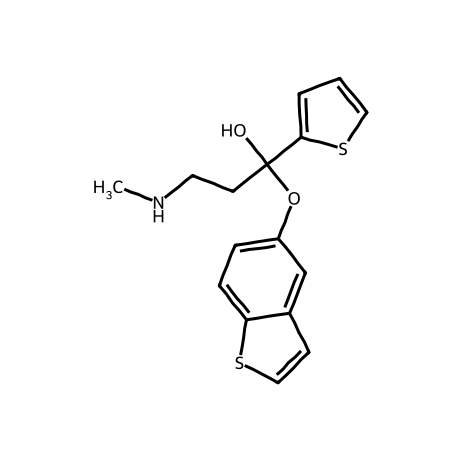 CNCCC(O)(Oc1ccc2sccc2c1)c1cccs1